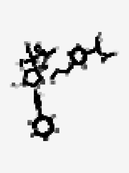 COC(=O)c1ccc(CCC[C@@H]2[C@@H](C#Cc3ccccc3)[C@H](C)C[C@@]2(OC(C)=O)C(F)(F)F)s1